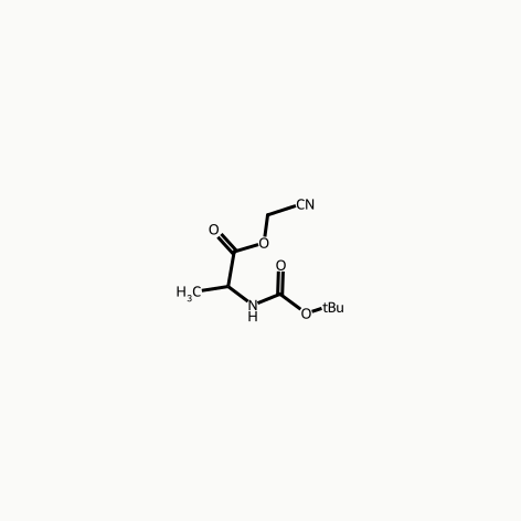 CC(NC(=O)OC(C)(C)C)C(=O)OCC#N